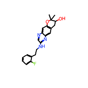 CC1(C)Oc2cc3ncc(NCCc4ccccc4F)nc3cc2CC1O